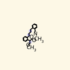 CO/C=C(/C(=O)OC)c1ccccc1/C=C/C=C/c1ccccc1C#N